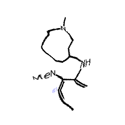 C=C(NC1CCCN(C)C1)/C(=C\C)NC